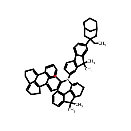 CCC1(c2ccc3c(c2)C(C)(C)c2cc(N(C4=CCCC5=C4c4ccccc4C5(C)C)c4ccc(C5=C6C(=CCC5)CCC=C6c5ccccc5)cc4)ccc2-3)CC2CCCC(C2)C1